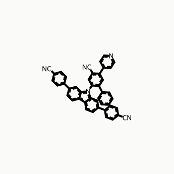 N#Cc1ccc(-c2ccc3c4ccc(-c5ccc(C#N)cc5)cc4n(-c4cc(C#N)c(-c5ccncc5)cc4-c4ccccc4)c3c2)cc1